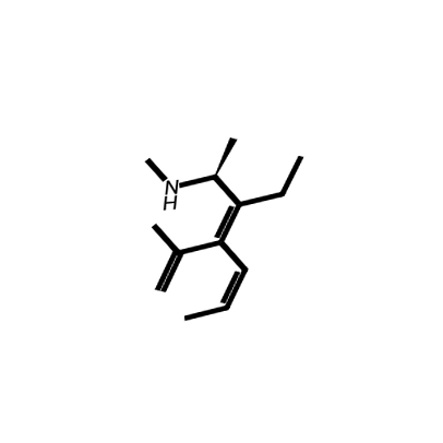 C=C(C)C(/C=C\C)=C(/CC)[C@H](C)NC